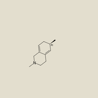 C[C@H]1C=C2CCN(C)CC2=CC1